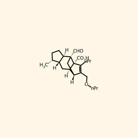 CCCOCC1=C(C(C)C)[C@@]2(C(=O)O)[C@@H]3C[C@@H]4[C@H](C)CC[C@H]4[C@]2(C=O)C[C@H]13